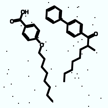 CCCCCCC(C)C(=O)c1ccc(-c2ccccc2)cc1.CCCCCCCCOc1ccc(C(=O)O)cc1